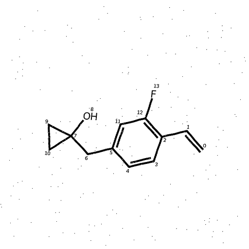 C=Cc1ccc(CC2(O)CC2)cc1F